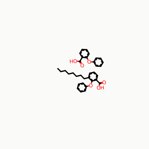 CCCCCCCCc1cccc(C(=O)O)c1Oc1ccccc1.O=C(O)c1ccccc1Oc1ccccc1